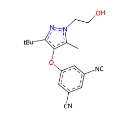 [C-]#[N+]c1cc(C#N)cc(Oc2c(C(C)(C)C)nn(CCO)c2C)c1